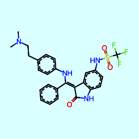 CN(C)CCc1ccc(NC(=C2C(=O)Nc3ccc(NS(=O)(=O)C(F)(F)F)cc32)c2ccccc2)cc1